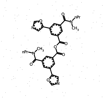 CCCN(C)C(=O)c1cc(C(=O)OC(=O)c2cc(C(=O)N(C)CCC)cc(-c3cnco3)c2)cc(-c2cnco2)c1